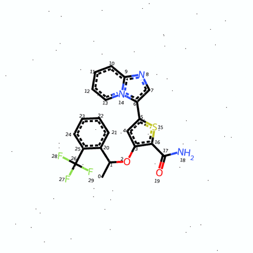 CC(Oc1cc(-c2cnc3ccccn23)sc1C(N)=O)c1ccccc1C(F)(F)F